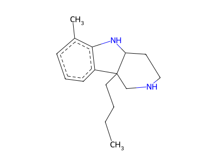 CCCCC12CNCCC1Nc1c(C)cccc12